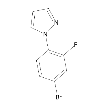 Fc1cc(Br)ccc1-n1cccn1